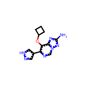 Nc1nc2c(OC3CCC3)c(-c3cn[nH]c3)ncn2n1